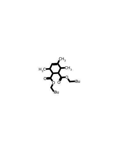 CCC(C)COC(=O)C1C(C)C=C(C)C(C)C1C(=O)OCC(C)CC